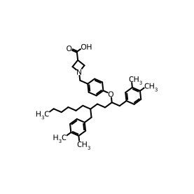 CCCCCCC(CCC(Cc1ccc(C)c(C)c1)Oc1ccc(CN2CC(C(=O)O)C2)cc1)Cc1ccc(C)c(C)c1